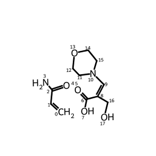 C=CC(N)=O.O=C(O)C(=CN1CCOCC1)CO